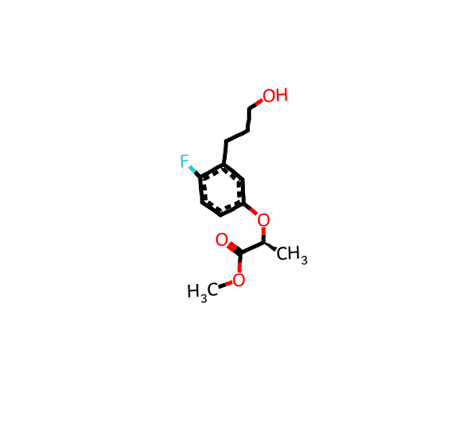 COC(=O)[C@H](C)Oc1ccc(F)c(CCCO)c1